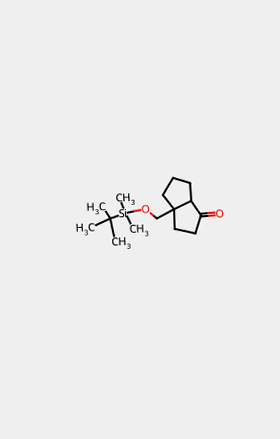 CC(C)(C)[Si](C)(C)OCC12CCCC1C(=O)CC2